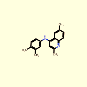 Cc1ccc2nc(C)cc(Nc3ccc(C)c(C)c3)c2c1